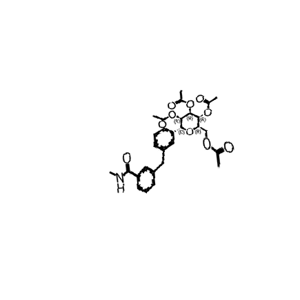 CNC(=O)c1cccc(Cc2cccc([C@H]3O[C@H](COC(C)=O)[C@@H](OC(C)=O)[C@H](OC(C)=O)[C@@H]3OC(C)=O)c2)c1